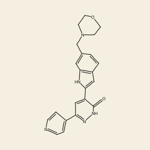 O=c1[nH]nc(-c2ccncc2)cc1-c1cc2ccc(CN3CCOCC3)cc2[nH]1